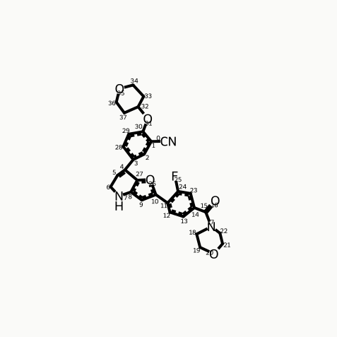 N#Cc1cc(C2=CCNc3cc(-c4ccc(C(=O)N5CCOCC5)cc4F)oc32)ccc1OC1CCOCC1